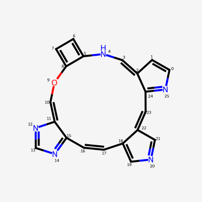 c1cc2c[nH]c3ccc3occ3ncnc3ccc3cncc3cc2n1